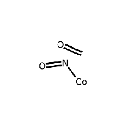 C=O.O=[N][Co]